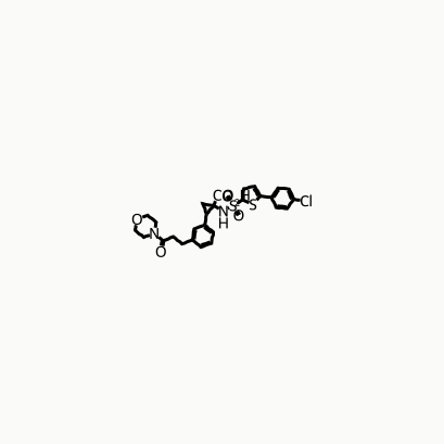 O=C(CCc1cccc(C2CC2(NS(=O)(=O)C2CC=C(c3ccc(Cl)cc3)S2)C(=O)O)c1)N1CCOCC1